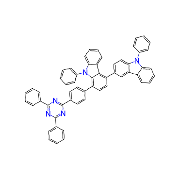 c1ccc(-c2nc(-c3ccccc3)nc(-c3ccc(-c4ccc(-c5ccc6c(c5)c5ccccc5n6-c5ccccc5)c5c6ccccc6n(-c6ccccc6)c45)cc3)n2)cc1